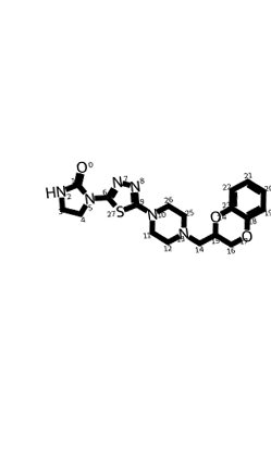 O=C1NCCN1c1nnc(N2CCN(CC3COc4ccccc4O3)CC2)s1